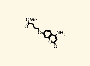 COC(=O)CCCOc1ccc2c(N)cc(=O)oc2c1